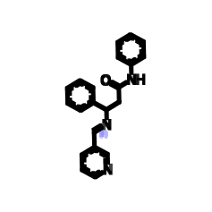 O=C(CC(/N=C/c1cccnc1)c1ccccc1)Nc1ccccc1